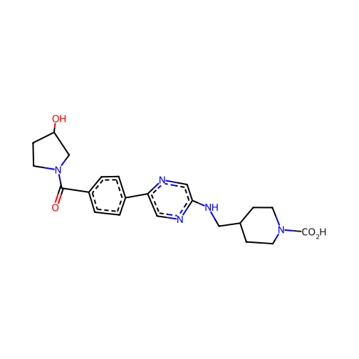 O=C(O)N1CCC(CNc2cnc(-c3ccc(C(=O)N4CCC(O)C4)cc3)cn2)CC1